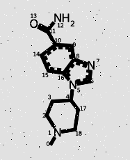 CN1CCC(n2cnc3cc(C(N)=O)ccc32)CC1